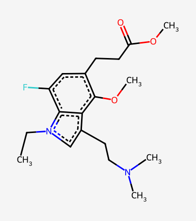 CCn1cc(CCN(C)C)c2c(OC)c(CCC(=O)OC)cc(F)c21